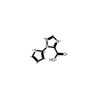 O=C(O)c1ncnn1-c1cccs1